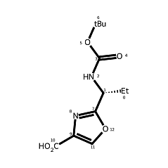 CC[C@@H](NC(=O)OC(C)(C)C)c1nc(C(=O)O)co1